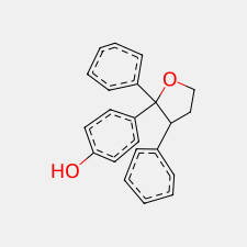 Oc1ccc(C2(c3ccccc3)OCCC2c2ccccc2)cc1